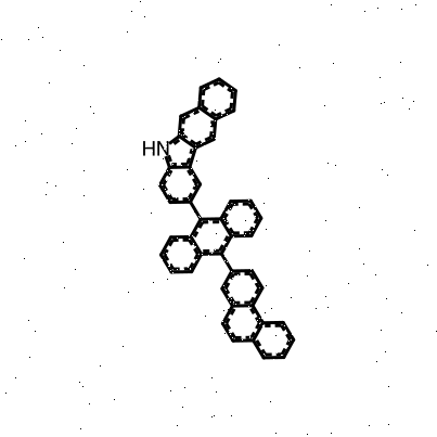 c1ccc2cc3c(cc2c1)[nH]c1ccc(-c2c4ccccc4c(-c4ccc5c(ccc6ccccc65)c4)c4ccccc24)cc13